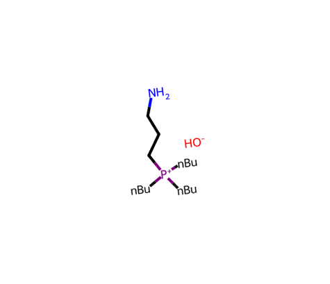 CCCC[P+](CCCC)(CCCC)CCCN.[OH-]